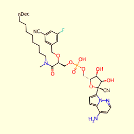 CCCCCCCCCCCCCCCCCCN(C)C(=O)[C@H](COP(=O)(O)OC[C@H]1O[C@@](C#N)(c2ccc3c(N)ccnn23)[C@H](O)[C@@H]1O)OCc1cc(F)cc(C#N)c1